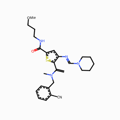 C=C(c1sc(C(=O)NCCCOC)cc1/N=C/N1CCCCC1)N(C)Cc1ccccc1C#N